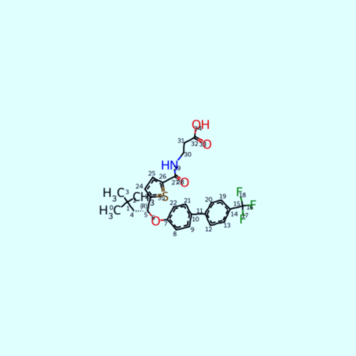 CC(C)(C)C[C@@H](Oc1ccc(-c2ccc(C(F)(F)F)cc2)cc1)c1ccc(C(=O)NCCC(=O)O)s1